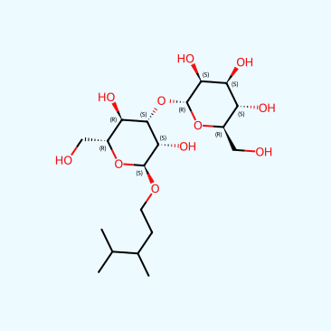 CC(C)C(C)CCO[C@H]1O[C@H](CO)[C@@H](O)[C@H](O[C@H]2O[C@H](CO)[C@@H](O)[C@H](O)[C@@H]2O)[C@@H]1O